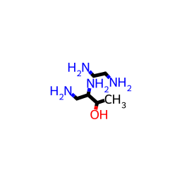 CC(O)C(N)CN.NCCN